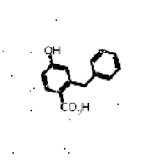 O=C(O)c1ccc(O)cc1Cc1ccccc1